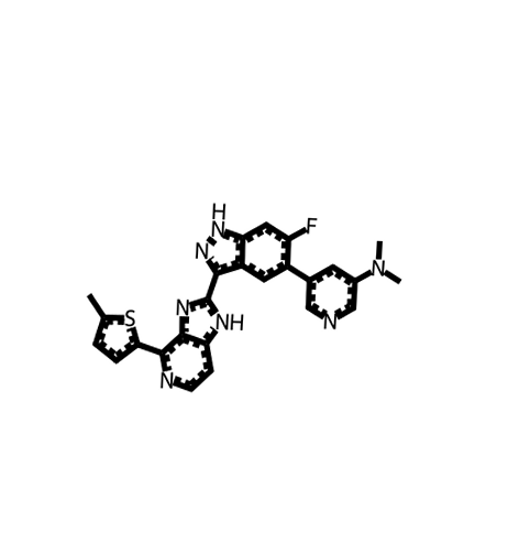 Cc1ccc(-c2nccc3[nH]c(-c4n[nH]c5cc(F)c(-c6cncc(N(C)C)c6)cc45)nc23)s1